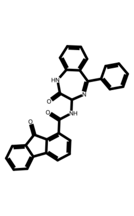 O=C(NC1N=C(c2ccccc2)c2ccccc2NC1=O)c1cccc2c1C(=O)c1ccccc1-2